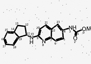 COC(=O)Nc1ccc2nc(N[C@@H]3CCc4ccccc43)ccc2c1